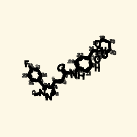 Cn1ncc(/C=C/C(=O)Nc2ccc(C[PH]3(O)OCCCO3)cc2)c1-c1ccc(F)cc1